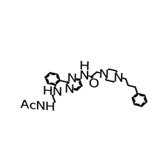 CC(=O)NCCNc1ccccc1-c1nccc(NC(=O)CN2CCN(CCCc3ccccc3)CC2)n1